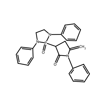 C=C1CC(P2(=O)N(c3ccccc3)CCN2c2ccccc2)C(=O)N1c1ccccc1